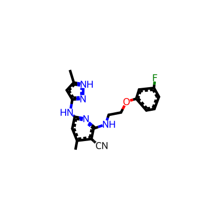 Cc1cc(Nc2cc(C)c(C#N)c(NCCOc3cccc(F)c3)n2)n[nH]1